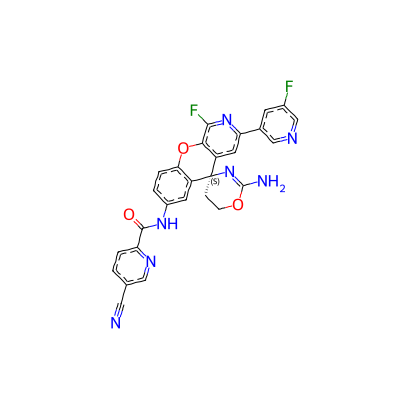 N#Cc1ccc(C(=O)Nc2ccc3c(c2)[C@@]2(CCOC(N)=N2)c2cc(-c4cncc(F)c4)nc(F)c2O3)nc1